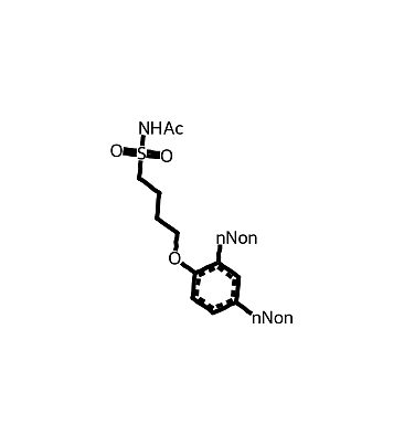 CCCCCCCCCc1ccc(OCCCCS(=O)(=O)NC(C)=O)c(CCCCCCCCC)c1